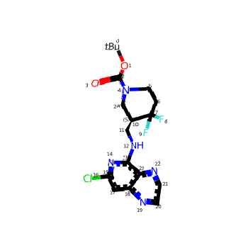 CC(C)(C)OC(=O)N1CCC(F)(F)[C@@H](CNc2nc(Cl)cc3nccnc23)C1